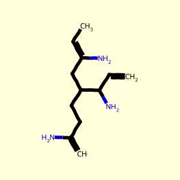 [CH]=C(N)CCC(CC(N)=CC)C(N)C=C